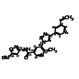 C=Cc1cncc(-c2cn(-c3cc(C(=O)Nc4cc(C(C)(C)C)on4)cnc3C)nn2)c1